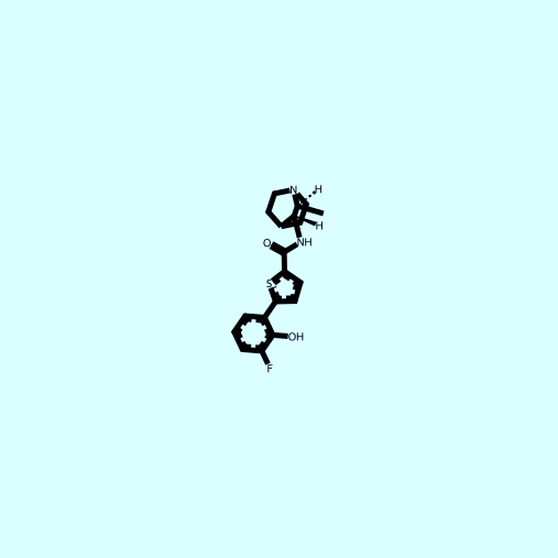 C[C@H]1[C@H](NC(=O)c2ccc(-c3cccc(F)c3O)s2)C2CCN1CC2